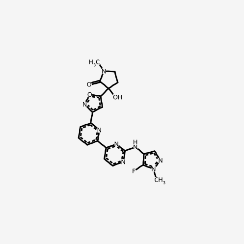 CN1CCC(O)(c2cc(-c3cccc(-c4ccnc(Nc5cnn(C)c5F)n4)n3)no2)C1=O